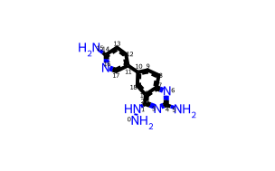 NNc1nc(N)nc2ccc(-c3ccc(N)nc3)cc12